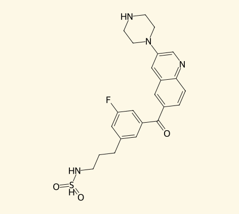 O=C(c1cc(F)cc(CCCN[SH](=O)=O)c1)c1ccc2ncc(N3CCNCC3)cc2c1